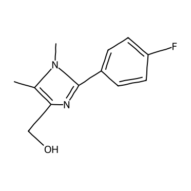 Cc1c(CO)nc(-c2ccc(F)cc2)n1C